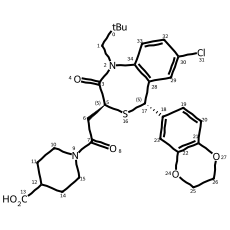 CC(C)(C)CN1C(=O)[C@H](CC(=O)N2CCC(C(=O)O)CC2)S[C@@H](c2ccc3c(c2)OCCO3)c2cc(Cl)ccc21